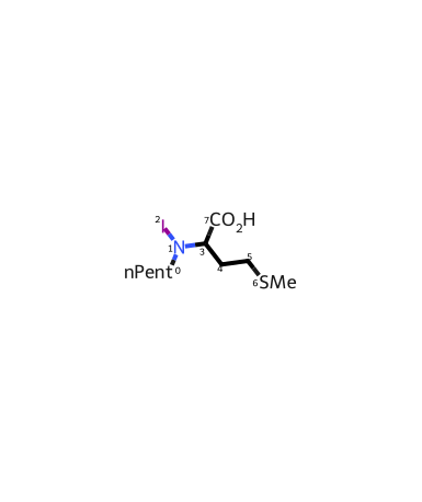 CCCCCN(I)C(CCSC)C(=O)O